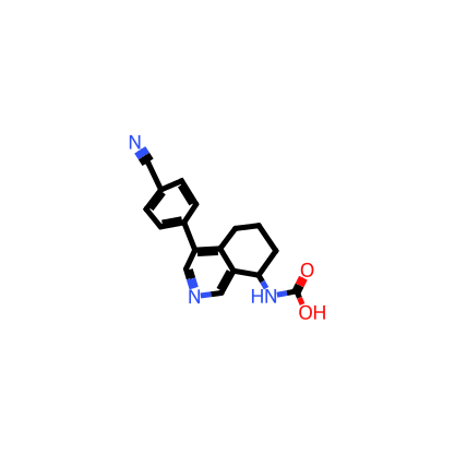 N#Cc1ccc(-c2cncc3c2CCCC3NC(=O)O)cc1